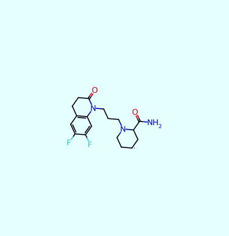 NC(=O)C1C[CH]CCN1CCCN1C(=O)CCc2cc(F)c(F)cc21